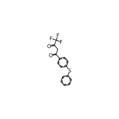 O=C(CC(=O)C(F)(F)F)c1ccc(Sc2ccccc2)cc1